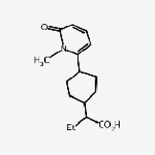 CCC(C(=O)O)C1CCC(c2cccc(=O)n2C)CC1